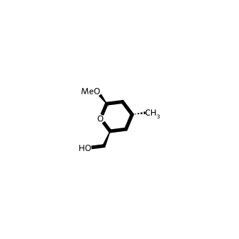 CO[C@H]1C[C@H](C)C[C@@H](CO)O1